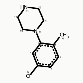 Cc1ccc(Cl)cc1N1C[CH]NCC1